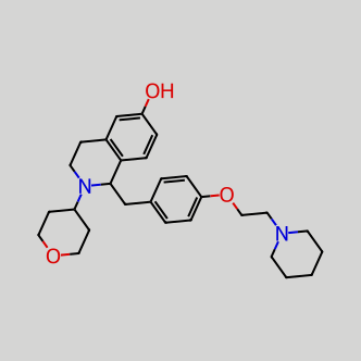 Oc1ccc2c(c1)CCN(C1CCOCC1)C2Cc1ccc(OCCN2CCCCC2)cc1